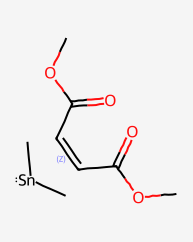 COC(=O)/C=C\C(=O)OC.[CH3][Sn][CH3]